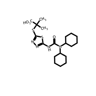 CC(C)(Sc1nnc(NC(=O)N(C2CCCCC2)C2CCCCC2)s1)C(=O)O